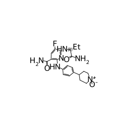 CC[C@@H](Nc1nc(Nc2ccc(C3CC[N+](C)([O-])CC3)cc2)c(C(N)=O)cc1F)C(N)=O